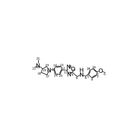 COc1ccc(CNCc2nc(-c3ccc(N4CCC(N(C)C)C4)cc3)no2)cc1